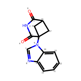 O=C1NC(=O)C2(n3cnc4ccccc43)CC1C2